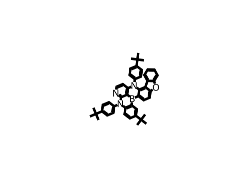 CC(C)(C)c1ccc(N2c3ccc(C(C)(C)C)cc3B3c4ccc5oc6ccccc6c5c4N(c4ccc(C(C)(C)C)cc4)c4ccnc2c43)cc1